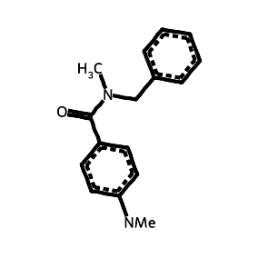 CNc1ccc(C(=O)N(C)Cc2ccccc2)cc1